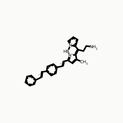 CC1=CC(/C=C/c2ccc(/C=C/c3ccccc3)cc2)=[N+]2Bn3cccc3C(CCN)=C12